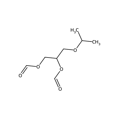 CC(C)OCC(COC=O)OC=O